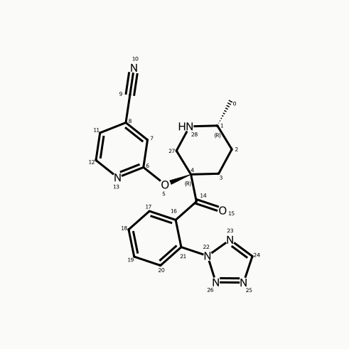 C[C@@H]1CC[C@](Oc2cc(C#N)ccn2)(C(=O)c2ccccc2-n2ncnn2)CN1